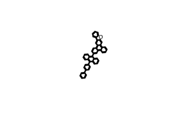 c1ccc(-c2ccc(-c3c4ccccc4c(-c4ccc5c(c4)c4ccccc4c4cc6oc7ccccc7c6cc54)c4ccccc34)cc2)cc1